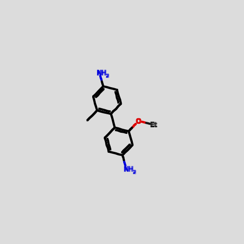 CCOc1cc(N)ccc1-c1ccc(N)cc1C